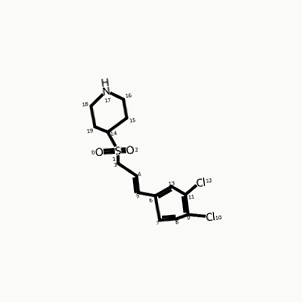 O=S(=O)(CC=Cc1ccc(Cl)c(Cl)c1)C1CCNCC1